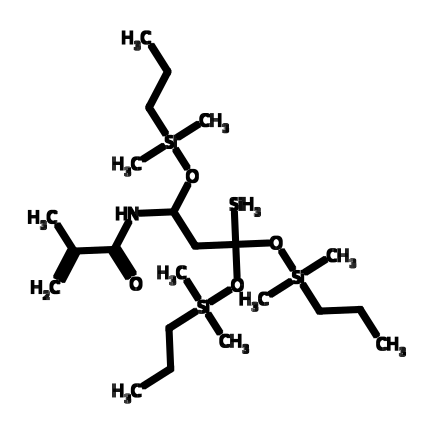 C=C(C)C(=O)NC(CC([SiH3])(O[Si](C)(C)CCC)O[Si](C)(C)CCC)O[Si](C)(C)CCC